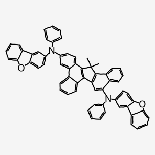 CC1(C)c2c(cc(N(c3ccccc3)c3ccc4oc5ccccc5c4c3)c3ccccc23)-c2c1c1ccc(N(c3ccccc3)c3ccc4oc5ccccc5c4c3)cc1c1ccccc21